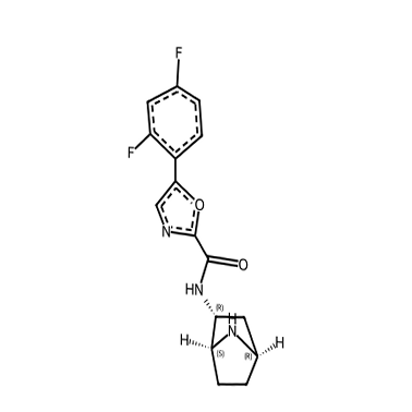 O=C(N[C@@H]1C[C@H]2CC[C@@H]1N2)c1ncc(-c2ccc(F)cc2F)o1